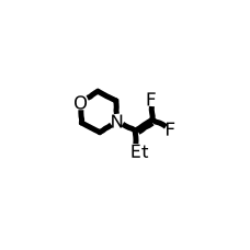 CCC(=C(F)F)N1CCOCC1